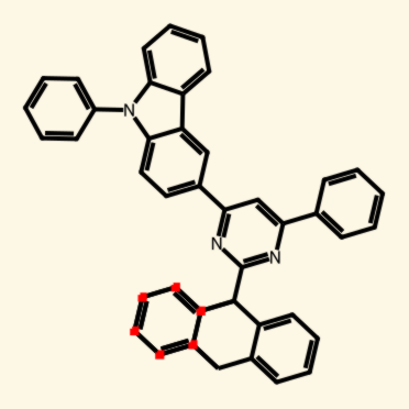 c1ccc(-c2cc(-c3ccc4c(c3)c3ccccc3n4-c3ccccc3)nc(C34c5ccccc5C(c5ccccc53)c3ccccc34)n2)cc1